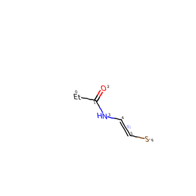 CCC(=O)N/C=C/[S]